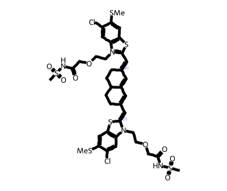 CSc1cc2c(cc1Cl)N(CCOCC(=O)NS(C)(=O)=O)/C(=C/C1=CC3=C/C(=C/c4sc5cc(SC)c(Cl)cc5[n+]4CCOCC(=O)NS(C)(=O)=O)CCC3CC1)S2